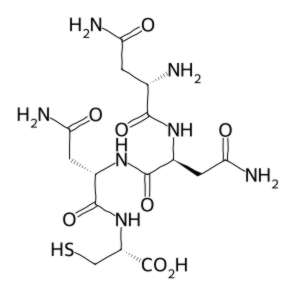 NC(=O)C[C@H](NC(=O)[C@H](CC(N)=O)NC(=O)[C@@H](N)CC(N)=O)C(=O)N[C@@H](CS)C(=O)O